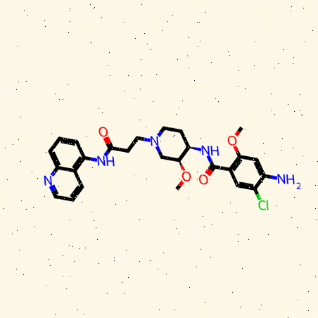 COc1cc(N)c(Cl)cc1C(=O)N[C@@H]1CCN(CCC(=O)Nc2cccc3ncccc23)C[C@@H]1OC